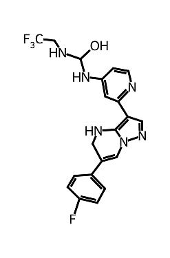 OC(NCC(F)(F)F)Nc1ccnc(-c2cnn3c2NCC(c2ccc(F)cc2)=C3)c1